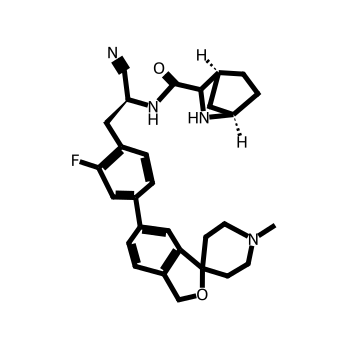 CN1CCC2(CC1)OCc1ccc(-c3ccc(C[C@@H](C#N)NC(=O)C4N[C@@H]5CC[C@H]4C5)c(F)c3)cc12